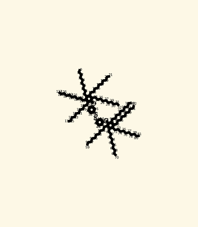 CCCCCCCCCCc1c(CCCCCCCCCC)c(CCCCCCCCCC)c(Oc2cccc(SSc3cccc(Oc4c(CCCCCCCCCC)c(CCCCCCCCCC)c(CCCCCCCCCC)c(CCCCCCCCCC)c4CCCCCCCCCC)c3)c2)c(CCCCCCCCCC)c1CCCCCCCCCC